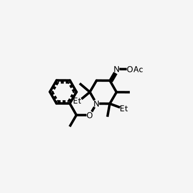 CCC1(C)C/C(=N/OC(C)=O)C(C)C(C)(CC)N1OC(C)c1ccccc1